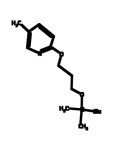 Cc1ccc(OCCCO[Si](C)(C)C(C)(C)C)nc1